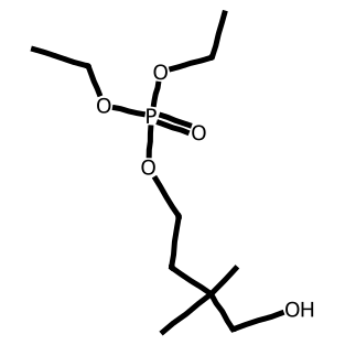 CCOP(=O)(OCC)OCCC(C)(C)CO